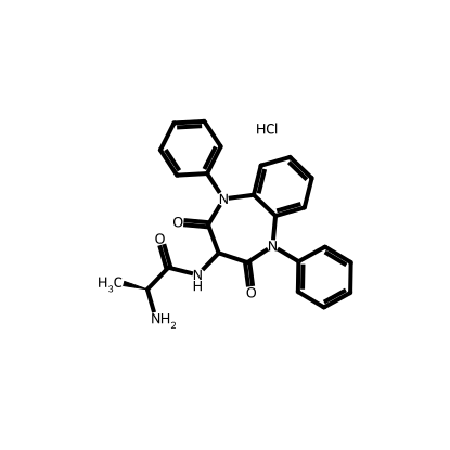 C[C@H](N)C(=O)NC1C(=O)N(c2ccccc2)c2ccccc2N(c2ccccc2)C1=O.Cl